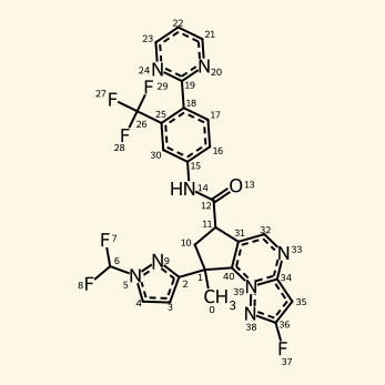 CC1(c2ccn(C(F)F)n2)CC(C(=O)Nc2ccc(-c3ncccn3)c(C(F)(F)F)c2)c2cnc3cc(F)nn3c21